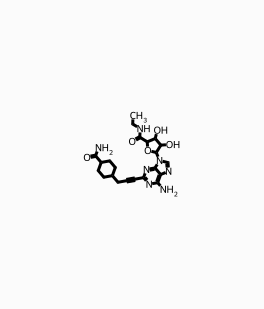 CCNC(=O)C1OC(n2cnc3c(N)nc(C#CCC4CCC(C(N)=O)CC4)nc32)C(O)C1O